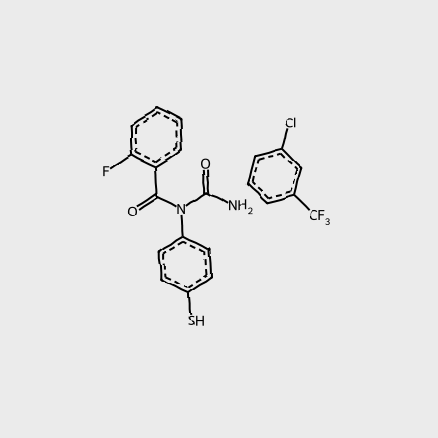 FC(F)(F)c1cccc(Cl)c1.NC(=O)N(C(=O)c1ccccc1F)c1ccc(S)cc1